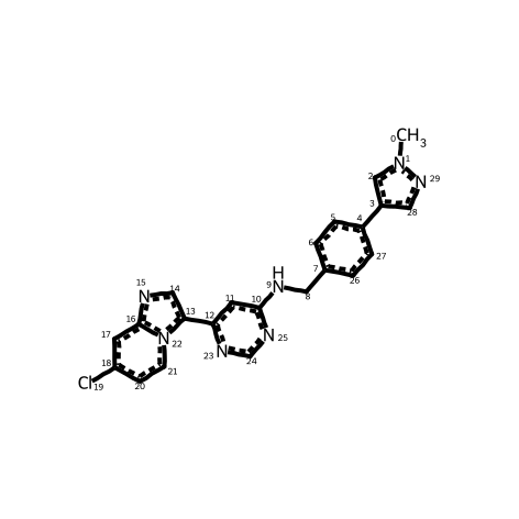 Cn1cc(-c2ccc(CNc3cc(-c4cnc5cc(Cl)ccn45)ncn3)cc2)cn1